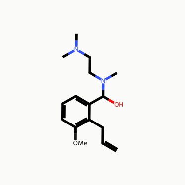 C=CCc1c(OC)cccc1C(O)N(C)CCN(C)C